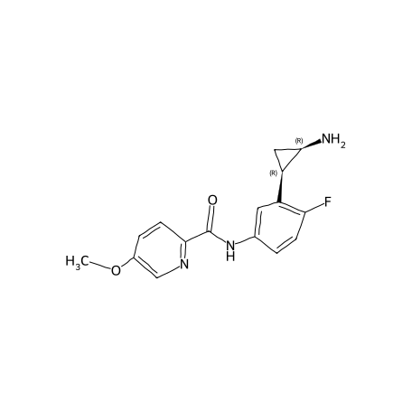 COc1ccc(C(=O)Nc2ccc(F)c([C@H]3C[C@H]3N)c2)nc1